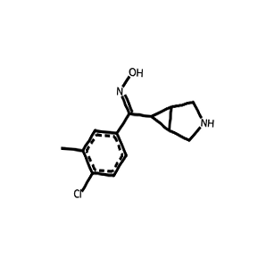 Cc1cc(C(=NO)C2C3CNCC32)ccc1Cl